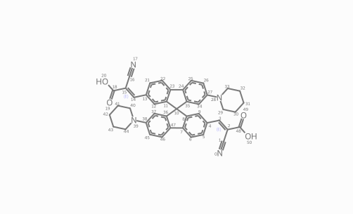 N#C/C(=C\c1ccc2c(c1)C1(c3cc(/C=C(\C#N)C(=O)O)ccc3-c3ccc(N4CCCCC4)cc31)c1cc(N3CCCCC3)ccc1-2)C(=O)O